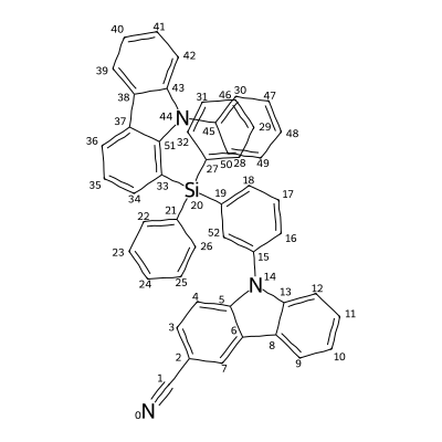 N#Cc1ccc2c(c1)c1ccccc1n2-c1cccc([Si](c2ccccc2)(c2ccccc2)c2cccc3c4ccccc4n(-c4ccccc4)c23)c1